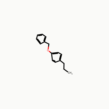 C[CH]Cc1ccc(OCc2ccccc2)cc1